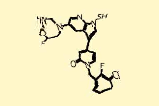 O=c1cc(-c2cn(S)c3ncc(N4CNOC(F)C4)cc23)ccn1Cc1cccc(Cl)c1F